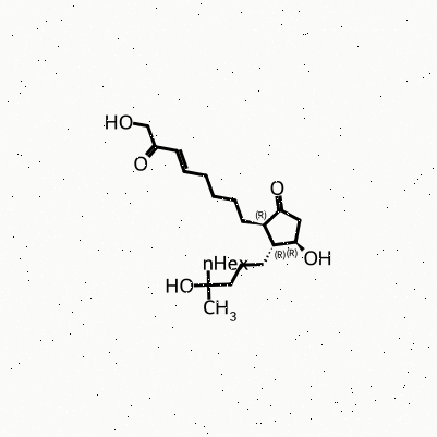 CCCCCCC(C)(O)CCC[C@H]1[C@H](O)CC(=O)[C@@H]1CCCCC=CC(=O)CO